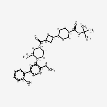 CNc1nnc(-c2ccccc2O)cc1N1CCN(C(=O)C2CN(C3CCN(C(=O)OC(C)(C)C)CC3)C2)C[C@@H]1C